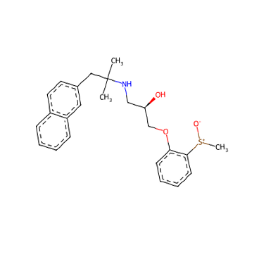 C[S+]([O-])c1ccccc1OC[C@H](O)CNC(C)(C)Cc1ccc2ccccc2c1